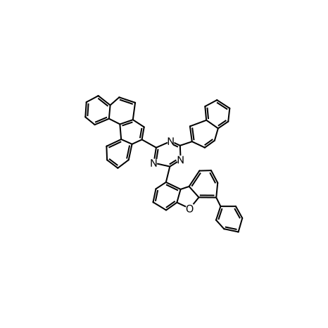 c1ccc(-c2cccc3c2oc2cccc(-c4nc(-c5ccc6ccccc6c5)nc(-c5cc6ccc7ccccc7c6c6ccccc56)n4)c23)cc1